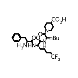 CCCCC(NC(=O)[C@@H](CCCCC(F)(F)F)NC(=O)[C@H](N)Cc1ccccc1)C(=O)N1CCC(C(=O)O)CC1